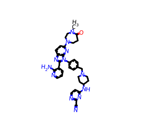 CN1CCN(c2ccc3nc(-c4cccnc4N)n(-c4ccc(CN5CCC(Nc6ccnc(C#N)n6)CC5)cc4)c3n2)CCC1=O